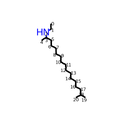 CCNC(C)CCCCCCCCCCCCCC(C)C